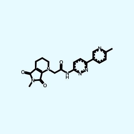 Cc1ccc(-c2ccc(NC(=O)CN3CCCC4=C3C(=O)N(C)C4=O)nn2)cn1